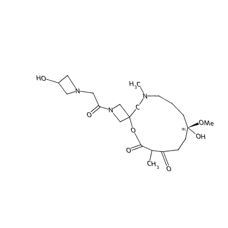 CO[C@]1(O)CCCN(C)CC2(CN(C(=O)CN3CC(O)C3)C2)OC(=O)C(C)C(=O)CC1